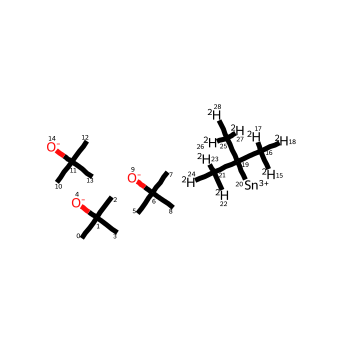 CC(C)(C)[O-].CC(C)(C)[O-].CC(C)(C)[O-].[2H]C([2H])([2H])[C]([Sn+3])(C([2H])([2H])[2H])C([2H])([2H])[2H]